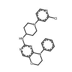 Clc1cc(N2CCC(Nc3ncc4c(n3)N(c3ccccc3)CCO4)CC2)ccn1